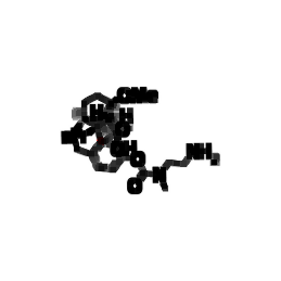 CCC[C@]12c3c4ccc(OC(=O)N(C)CCN)c3O[C@H]1[C@@]1(OC)CC[C@]2(CC4)C[C@@H]1C(C)(C)O